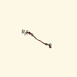 C=C(C)c1ccc(COCCCCCCCCCCCCCCCCCCc2ccc(/C=C/C(=O)c3ccccc3)cc2)cc1